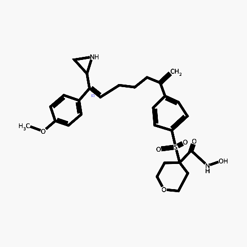 C=C(CCC/C=C(/c1ccc(OC)cc1)C1CN1)c1ccc(S(=O)(=O)C2(C(=O)NO)CCOCC2)cc1